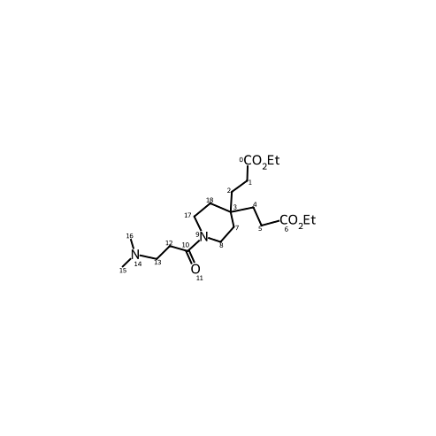 CCOC(=O)CCC1(CCC(=O)OCC)CCN(C(=O)CCN(C)C)CC1